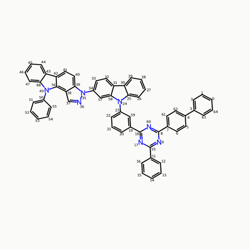 c1ccc(-c2ccc(-c3nc(-c4ccccc4)nc(-c4cccc(-n5c6ccccc6c6ccc(-n7ncc8c7ccc7c9ccccc9n(-c9ccccc9)c78)cc65)c4)n3)cc2)cc1